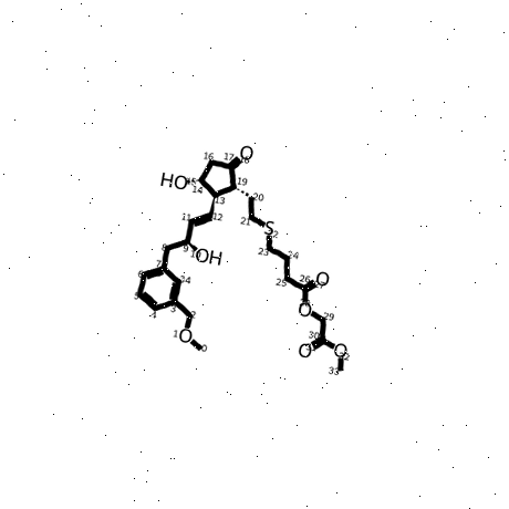 COCc1cccc(C[C@H](O)C=C[C@H]2[C@H](O)CC(=O)[C@@H]2CCSCCCC(=O)OCC(=O)OC)c1